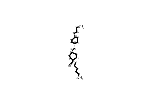 CCCCCC[C@]1(C#N)CC[C@H](CC[C@H]2CC[C@H](CCCC)CC2)CC1